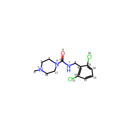 CN1CCN(C(=O)NCc2c(Cl)cccc2Cl)CC1